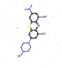 CCc1cc(N2CCN(C(C)C)CC2)cc2[s+]c3cc(N(C)C)cc(C(C)C)c3nc12.[I-]